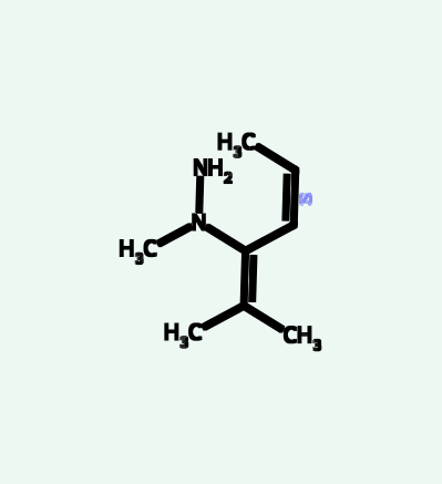 C/C=C\C(=C(C)C)N(C)N